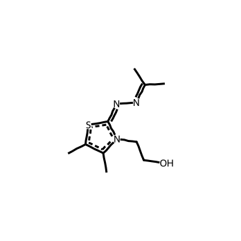 CC(C)=NN=c1sc(C)c(C)n1CCO